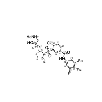 CC(=O)NC[C@](C)(O)C[C@@H]1CCC(C)C1S(=O)(=O)c1cc(C(=O)Nc2cc(F)c(F)c(F)c2)ccc1Cl